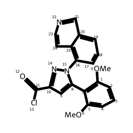 COc1cccc(OC)c1-c1cc(C(=O)Cl)nn1-c1cccc2cnccc12